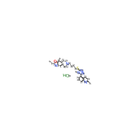 CCc1nc2cc3c(c(C)c2o1)CCN(CCCCSc1nnc(-c2cccc4nc(C)ccc24)n1C)CC3.Cl